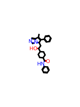 CC1=C(c2ccccc2)C(CC(O)C2CCC(C(=O)Nc3ccccc3)CC2)n2cncc21